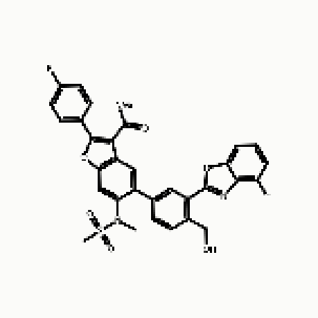 CNC(=O)c1c(-c2ccc(F)cc2)oc2cc(N(C)S(C)(=O)=O)c(-c3ccc(CO)c(-c4nc5c(F)cccc5o4)c3)cc12